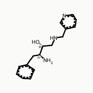 N[C@@H](Cc1ccccc1)[C@H](O)CNCc1cccnc1